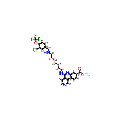 NC(=O)c1ccc2c(c1)nc(NCCCCOCCNCc1ccc(OC(F)(F)F)c(Cl)c1)c1ccncc12